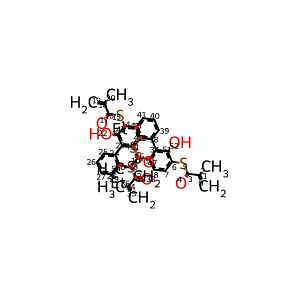 C=C(C)C(=O)Sc1ccc(Sc2ccc(SC(=O)C(=C)C)c(O)c2-c2cccc(CC)c2SC(=O)C(=C)C)c(-c2cccc(CC)c2SC(=O)C(=C)C)c1O